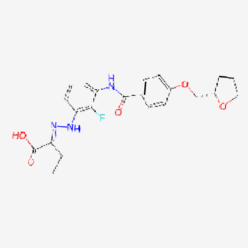 CC/C(=N\Nc1cccc(NC(=O)c2ccc(OC[C@@H]3CCCO3)cc2)c1F)C(=O)O